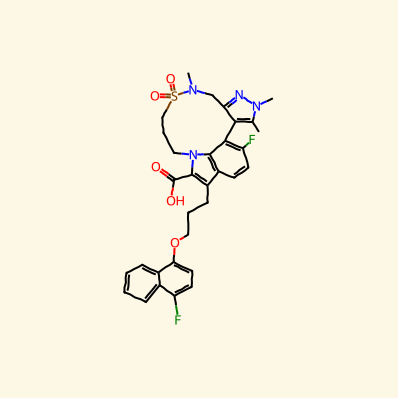 Cc1c2c(nn1C)CN(C)S(=O)(=O)CCCn1c(C(=O)O)c(CCCOc3ccc(F)c4ccccc34)c3ccc(F)c-2c31